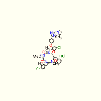 COC[C@@H]1NC(=O)[C@H](C)N(Cc2ccc(Cl)cc2Oc2ccc(-c3cnc(CN4CCCC4)n3C)cc2)C(=O)C[C@@H](Cc2ccccc2)C(=O)N(C)C[C@@H](Cc2ccc(Cl)cc2)N(C)C1=O.Cl